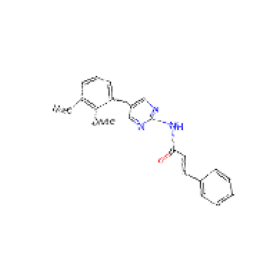 COc1cccc(-c2cnc(NC(=O)C=Cc3ccccc3)nc2)c1OC